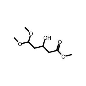 COC(=O)CC(O)CC(OC)OC